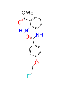 COC(=O)c1cccc(NC(=O)c2ccc(OCCF)cc2)c1N